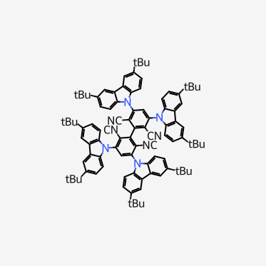 [C-]#[N+]c1c(-n2c3ccc(C(C)(C)C)cc3c3cc(C(C)(C)C)ccc32)cc(-n2c3ccc(C(C)(C)C)cc3c3cc(C(C)(C)C)ccc32)c([N+]#[C-])c1-c1c(C#N)c(-n2c3ccc(C(C)(C)C)cc3c3cc(C(C)(C)C)ccc32)cc(-n2c3ccc(C(C)(C)C)cc3c3cc(C(C)(C)C)ccc32)c1C#N